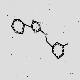 Fc1cccc(CNc2nc(-c3cccnc3)n[nH]2)c1